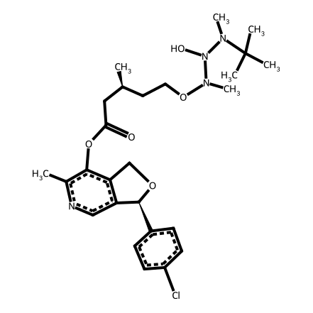 Cc1ncc2c(c1OC(=O)C[C@@H](C)CCON(C)N(O)N(C)C(C)(C)C)CO[C@H]2c1ccc(Cl)cc1